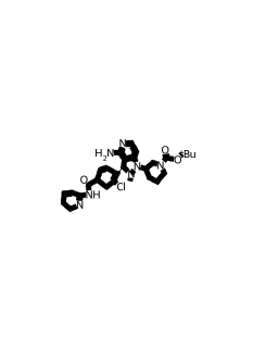 CN1[C@H](C2=C(Cl)CC(C(=O)NC3=NCCC=C3)C=C2)c2c(ccnc2N)N1C1CCCN(C(=O)OC(C)(C)C)C1